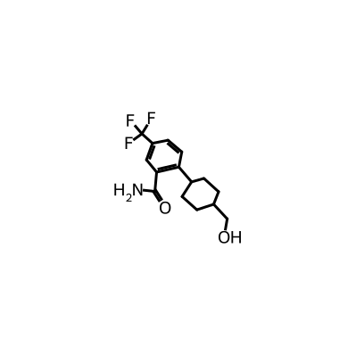 NC(=O)c1cc(C(F)(F)F)ccc1C1CCC(CO)CC1